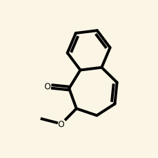 COC1CC=CC2C=CC=CC2C1=O